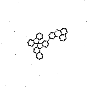 c1ccc2c(c1)-c1ccccc1C21c2cc(-c3ccc4c(c3)-c3cccc5cccc(c35)O4)ccc2-c2c1ccc1ccccc21